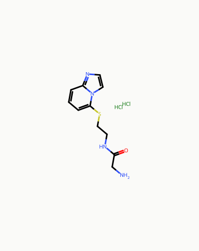 Cl.Cl.NCC(=O)NCCSc1cccc2nccn12